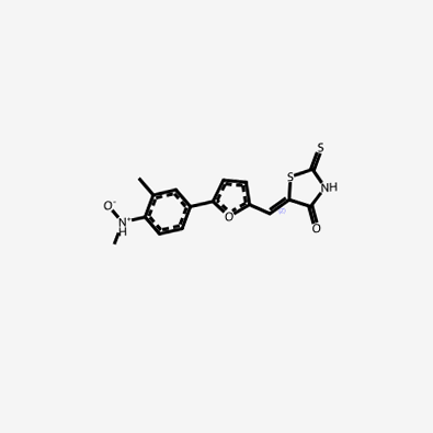 Cc1cc(-c2ccc(/C=C3\SC(=S)NC3=O)o2)ccc1[NH+](C)[O-]